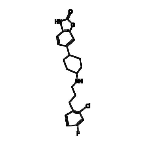 O=c1[nH]c2ccc(C3CCC(NCCCc4ccc(F)cc4Cl)CC3)cc2o1